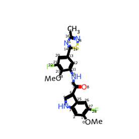 COc1cc2[nH]cc(C(=O)CNc3cc(-c4nc(C)ns4)cc(F)c3OC)c2cc1F